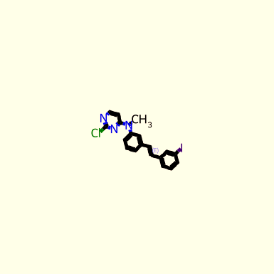 CN(c1cccc(/C=C/c2cccc(I)c2)c1)c1ccnc(Cl)n1